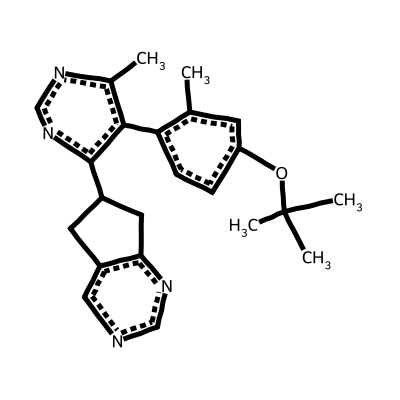 Cc1cc(OC(C)(C)C)ccc1-c1c(C)ncnc1C1Cc2cncnc2C1